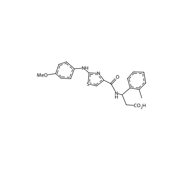 COc1ccc(Nc2nc(C(=O)NC(CC(=O)O)c3ccccc3C)cs2)cc1